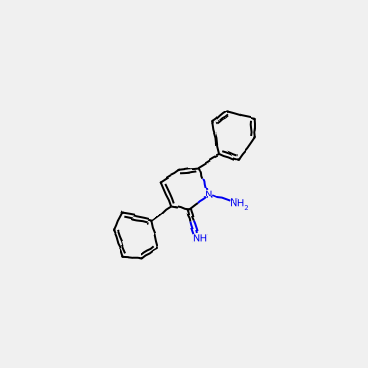 N=c1c(-c2ccccc2)ccc(-c2ccccc2)n1N